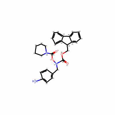 Nc1ccc(CN(OC(=O)N2CCCCC2)C(=O)OCC2c3ccccc3-c3ccccc32)cc1